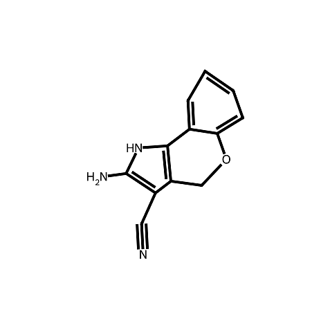 N#Cc1c(N)[nH]c2c1COc1ccccc1-2